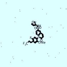 COc1cc(CCC(F)(F)F)c(F)cc1-n1c(=O)ccc2cc(S(=O)(=O)Nc3ccon3)ccc21